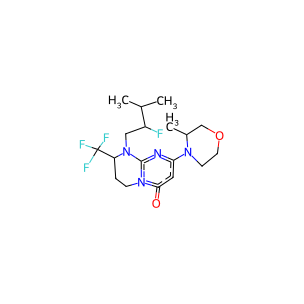 CC(C)C(F)CN1c2nc(N3CCOCC3C)cc(=O)n2CCC1C(F)(F)F